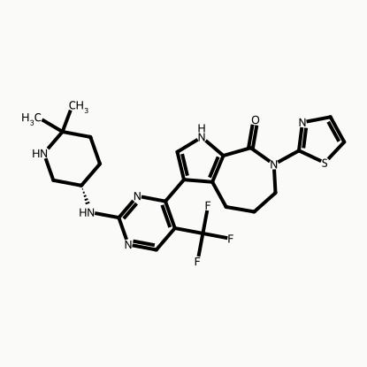 CC1(C)CC[C@H](Nc2ncc(C(F)(F)F)c(-c3c[nH]c4c3CCCN(c3nccs3)C4=O)n2)CN1